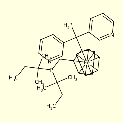 CCC(C)(C)P(C[C]12[CH]3[CH]4[CH]5[C]1(C(P)(c1cccnc1)c1cccnc1)[Fe]43521678[CH]2[CH]1[CH]6[CH]7[CH]28)C(C)(C)CC